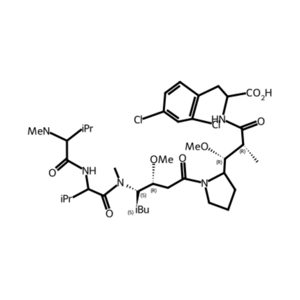 CC[C@H](C)[C@@H]([C@@H](CC(=O)N1CCCC1[C@H](OC)[C@@H](C)C(=O)NC(Cc1ccc(Cl)cc1Cl)C(=O)O)OC)N(C)C(=O)C(NC(=O)C(NC)C(C)C)C(C)C